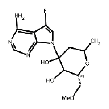 COC[C@H]1OC(C)CC(O)(n2cc(F)c3c(N)ncnc32)C1O